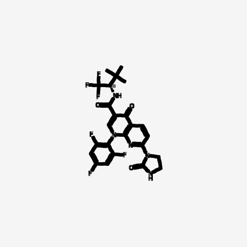 CC(C)(C)[C@H](NC(=O)c1cn(-c2c(F)cc(F)cc2F)c2nc(N3CCNC3=O)ccc2c1=O)C(F)(F)F